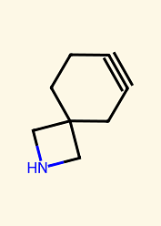 C1#CCC2(CC1)CNC2